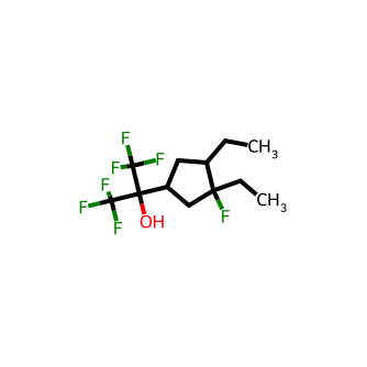 CCC1CC(C(O)(C(F)(F)F)C(F)(F)F)CC1(F)CC